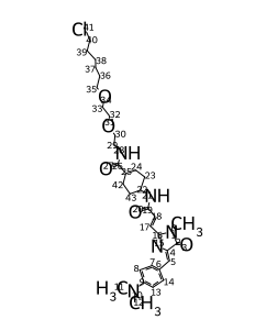 CN1C(=O)/C(=C/c2ccc(N(C)C)cc2)N=C1/C=C/C(=O)NC1CCC(C(=O)NCCOCCOCCCCCCCl)CC1